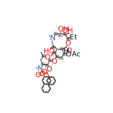 CC[C@H]1OC(=O)[C@@H]2C([C@@H](C)CN(C)[C@H](C)[C@@H](O)[C@]1(C)O)[C@@](C)(O)[C@H](O[C@@H]1O[C@H](C)C[C@H](N(C)S(=O)(=O)c3ccc4ccccc4c3)[C@H]1OC(=O)c1ccccc1)[C@@H](C)[C@@H]2OC(C)=O